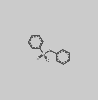 O=S(=S)(Sc1ccccc1)c1ccccc1